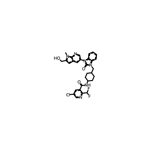 Cn1c(CO)cc2cc(-n3c(=O)n(CC4CCC(NC(=O)c5cc(Cl)cnc5C(F)F)CC4)c4ccccc43)cnc21